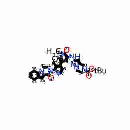 CC(=O)OCc1c(-c2cc(Nc3cc4n(n3)CCN(C(=O)OC(C)(C)C)C4)c(=O)n(C)c2)ccnc1N1CCn2c(cc3c2CCCC3)C1=O